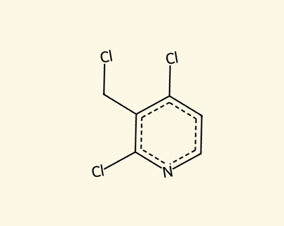 ClCc1c(Cl)ccnc1Cl